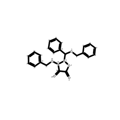 O=c1on(C(OCc2ccccc2)c2ccccc2)n(OCc2ccccc2)c1=O